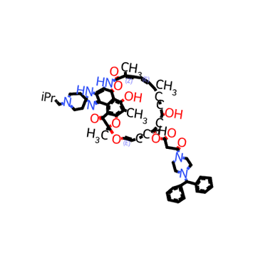 C/C1=C/C=C/C(C)CCC(O)C[C@H](OC(=O)CC(=O)N2CCN(C(c3ccccc3)c3ccccc3)CC2)CC/C=C/OC2(C)Oc3c(C)c(O)c4c(c3C2=O)C2=NC3(CCN(CC(C)C)CC3)NC2=C(NC1=O)C4=O